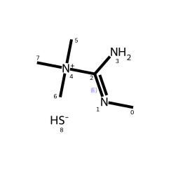 C/N=C(\N)[N+](C)(C)C.[SH-]